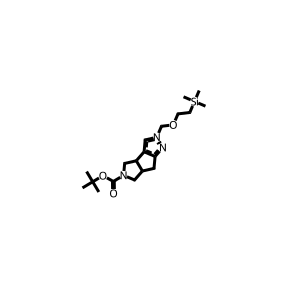 CC(C)(C)OC(=O)N1CC2Cc3nn(COCC[Si](C)(C)C)cc3C2C1